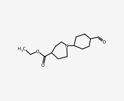 CCOC(=O)C1CCN(C2CCC(C=O)CC2)CC1